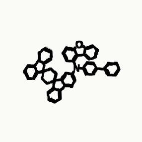 c1ccc(-c2ccc(N(c3ccc4c(c3)C3(CCC5(CC3)c3ccccc3-c3ccccc35)c3ccccc3-4)c3cccc4oc5ccccc5c34)cc2)cc1